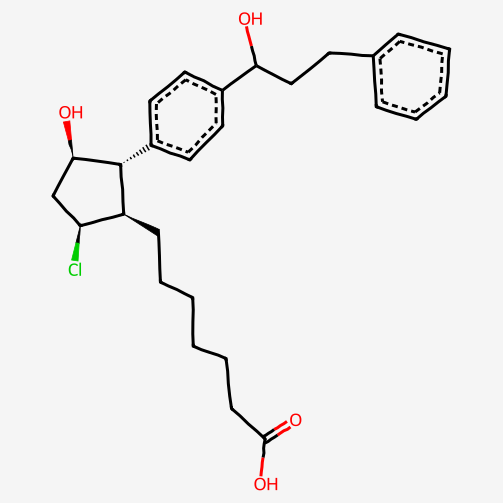 O=C(O)CCCCCC[C@@H]1[C@@H](c2ccc(C(O)CCc3ccccc3)cc2)[C@H](O)C[C@@H]1Cl